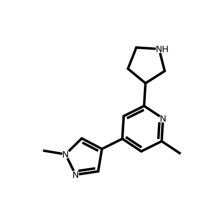 Cc1cc(-c2cnn(C)c2)cc(C2CCNC2)n1